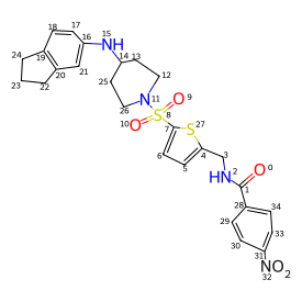 O=C(NCc1ccc(S(=O)(=O)N2CCC(Nc3ccc4c(c3)CCC4)CC2)s1)c1ccc([N+](=O)[O-])cc1